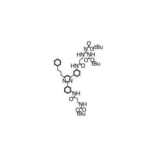 CC(C)(C)OC(=O)N=C(NCCC(=O)Nc1cccc(-c2cc(CCCc3ccccc3)nc(-c3cccc(NC(=O)CCNC(=O)OC(C)(C)C)c3)n2)c1)NC(=O)OC(C)(C)C